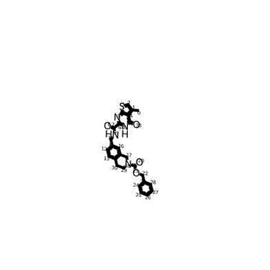 Cc1csc2nc(C(=O)NCc3ccc4c(c3)CN(C(=O)OCc3ccccc3)CC4)[nH]c(=O)c12